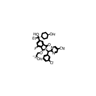 CCC(O)(c1cc(F)c2c(c1)C(=O)N(C(c1cccc(Cl)c1)c1ncc(C#N)cn1)[C@@H]2OC[C@@H](C)O)[C@H]1CC[C@H](O)CC1